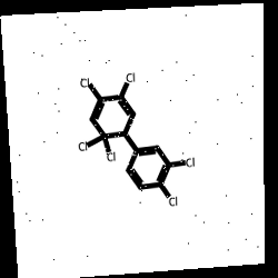 ClC1=CC(c2ccc(Cl)c(Cl)c2)C(Cl)(Cl)C=C1Cl